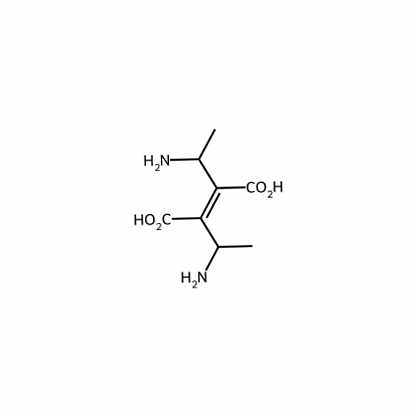 CC(N)C(C(=O)O)=C(C(=O)O)C(C)N